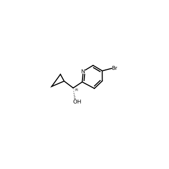 O[C@@H](c1ccc(Br)cn1)C1CC1